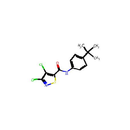 CC(C)(C)c1ccc(NC(=O)c2snc(Cl)c2Cl)cc1